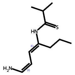 CCC/C(=C\C=C/N)NC(=S)C(C)C